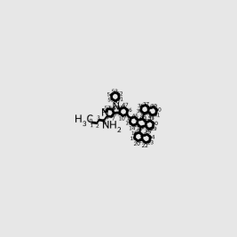 C/C=C\C=C(/N)c1cc2c3cc(-c4ccc5c(-c6cccc7ccccc67)c6ccccc6c(-c6cccc7ccccc67)c5c4)ccc3n(-c3ccccc3)c2cn1